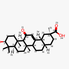 CC1(C)[C@@H](O)CC[C@]2(C)[C@H]3C(=O)C=C4C(CC[C@H]5CC[C@](C)(C(=O)O)C[C@@H]45)[C@]3(C)CC[C@@H]12